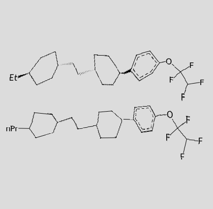 CCCC1CCC(CCC2CCC(c3ccc(OC(F)(F)C(F)F)cc3)CC2)CC1.CC[C@H]1CC[C@H](CC[C@H]2CC[C@H](c3ccc(OC(F)(F)C(F)F)cc3)CC2)CC1